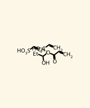 C=CC(=O)O.C=CC(=O)OC(O)CC.C=CS(=O)(=O)O